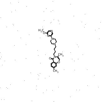 COc1cncc(N2CCN(CCCCN3C(=O)c4ccc(C)cc4OC=C3C)CC2)n1